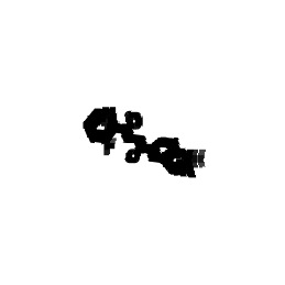 O=C(CCC(=O)c1ncccc1F)c1ccc2[nH]ncc2c1